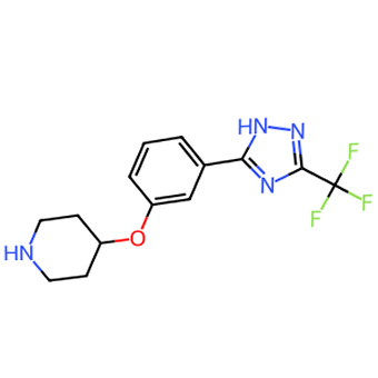 FC(F)(F)c1n[nH]c(-c2cccc(OC3CCNCC3)c2)n1